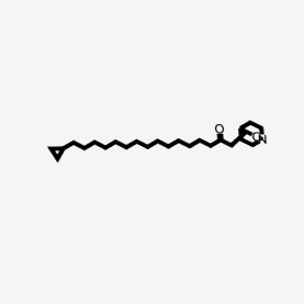 O=C(CCCCCCCCCCCCCCC1CC1)CC1CN2CCC1CC2